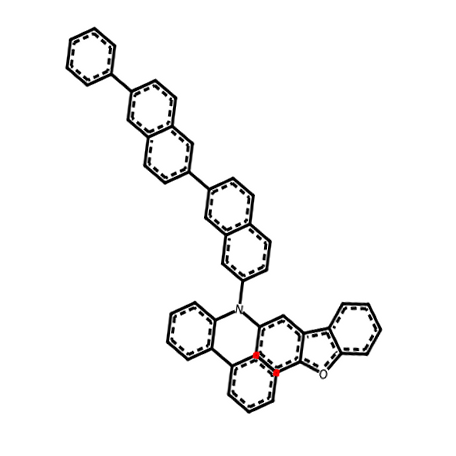 c1ccc(-c2ccc3cc(-c4ccc5ccc(N(c6ccc7oc8ccccc8c7c6)c6ccccc6-c6ccccc6)cc5c4)ccc3c2)cc1